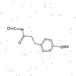 COc1ccc(CCC(=O)N=C=O)cc1